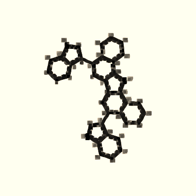 c1ccc2c(-c3cc4c5cc(-c6csc7ccccc67)c6ccccc6c5sc4c4ccccc34)csc2c1